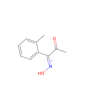 CC(=O)/C(=N/O)c1ccccc1C